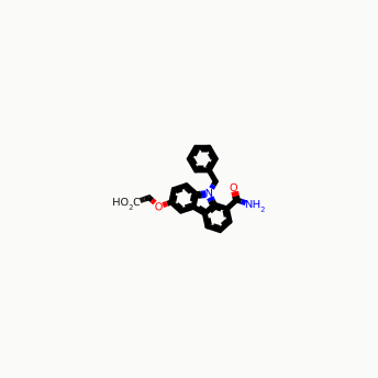 NC(=O)c1cccc2c3cc(OCC(=O)O)ccc3n(Cc3ccccc3)c12